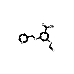 O=COc1cc(OCc2cccnc2)cc(C(=O)O)c1